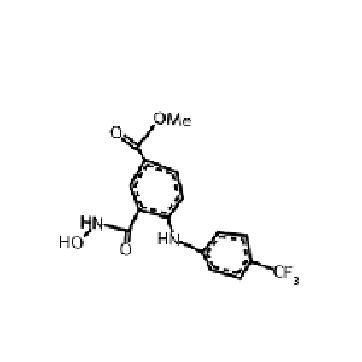 COC(=O)c1ccc(Nc2ccc(C(F)(F)F)cc2)c(C(=O)NO)c1